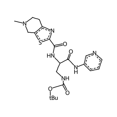 CN1CCc2nc(C(=O)NC(CNC(=O)OC(C)(C)C)C(=O)Nc3cccnc3)sc2C1